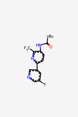 CCCCC(=O)Nc1ccc(-c2cncc(F)c2)nc1C(F)(F)F